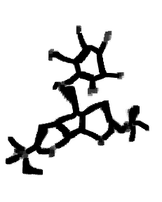 [CH3][Sn]([CH3])([CH3])[c]1cc2c(s1)-c1s[c]([Sn]([CH3])([CH3])[CH3])cc1C2=Nc1c(F)c(F)c(F)c(F)c1F